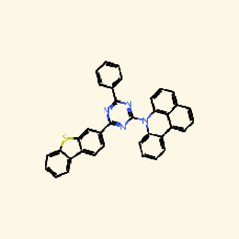 c1ccc(-c2nc(-c3ccc4c(c3)sc3ccccc34)nc(N3c4ccccc4-c4cccc5cccc3c45)n2)cc1